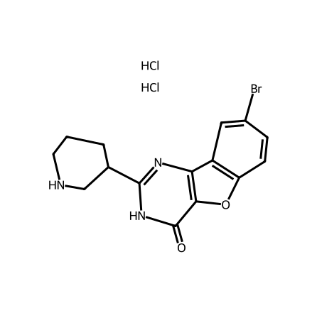 Cl.Cl.O=c1[nH]c(C2CCCNC2)nc2c1oc1ccc(Br)cc12